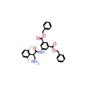 NCC(C(=O)Nc1cc(C(=O)OCc2ccccc2)cc(C(=O)OCc2ccccc2)c1)c1c(F)cccc1F